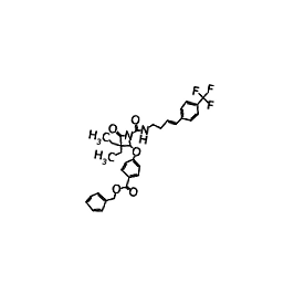 CCC1(CC)C(=O)N(C(=O)NCCC=Cc2ccc(C(F)(F)F)cc2)C1Oc1ccc(C(=O)OCc2ccccc2)cc1